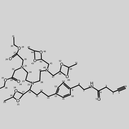 C#CCCC(=O)NCCc1ccc(CCCC(C2OC(C)O2)N(CCN(CC(=O)OCC)CC(=O)OCC)CCN(CC2OC(C)O2)CC2OC(C)O2)cc1